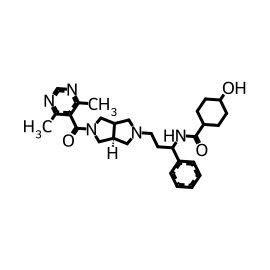 Cc1ncnc(C)c1C(=O)N1CC2CN(CCC(NC(=O)C3CCC(O)CC3)c3ccccc3)C[C@H]2C1